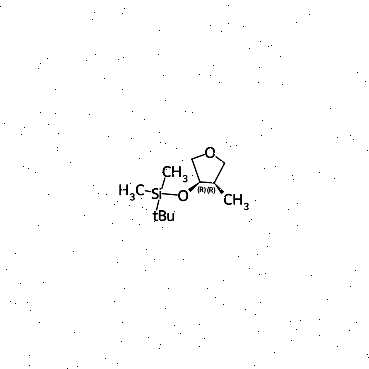 C[C@@H]1COC[C@@H]1O[Si](C)(C)C(C)(C)C